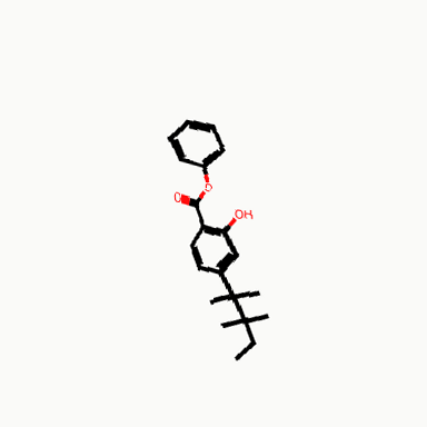 CCC(C)(C)C(C)(C)c1ccc(C(=O)Oc2ccccc2)c(O)c1